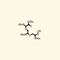 CCCOC(COC(COC(NC)C(=O)OC)NC)NC